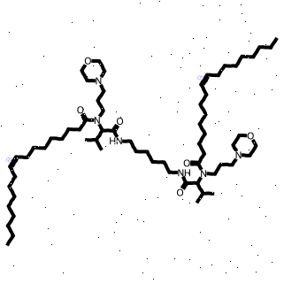 CCCCCCCC/C=C\CCCCCCCC(=O)N(CCCN1CCOCC1)C(C(=O)NCCCCCCNC(=O)C(C(C)C)N(CCCN1CCOCC1)C(=O)CCCCCCC/C=C\CCCCCCCC)C(C)C